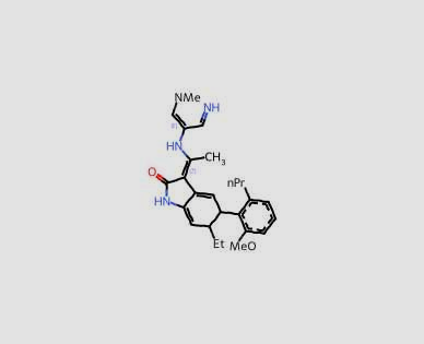 CCCc1cccc(OC)c1C1C=C2C(=CC1CC)NC(=O)/C2=C(/C)N/C(C=N)=C/NC